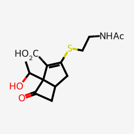 CC(=O)NCCSC1=C(C(=O)O)C2(C(C)O)C(=O)CC2C1